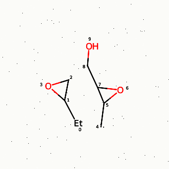 CCC1CO1.[CH2]C1OC1CO